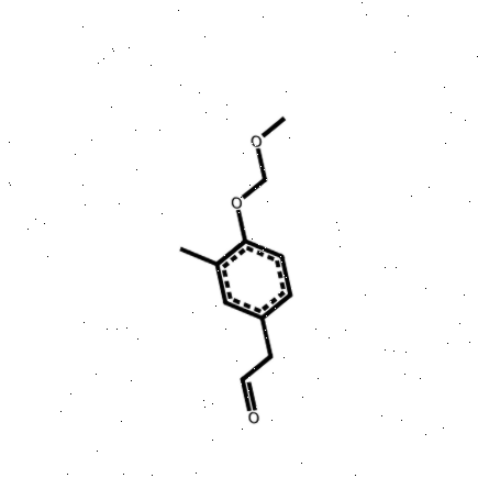 COCOc1ccc(CC=O)cc1C